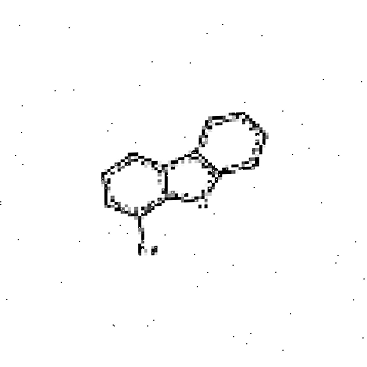 [Na][c]1cccc2c1oc1ccccc12